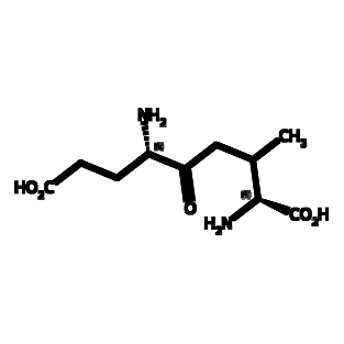 CC(CC(=O)[C@@H](N)CCC(=O)O)[C@H](N)C(=O)O